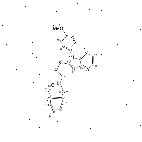 COc1ccc(-n2c(SC(C)CC(=O)Nc3ccc(C)cc3Cl)nc3ccccc32)cc1